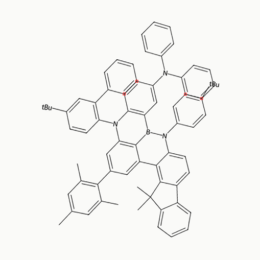 Cc1cc(C)c(-c2cc3c4c(c2)N(c2ccc(C(C)(C)C)cc2-c2ccccc2)c2ccc(N(c5ccccc5)c5ccccc5)cc2B4N(c2ccc(C(C)(C)C)cc2)c2ccc4c(c2-3)C(C)(C)c2ccccc2-4)c(C)c1